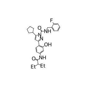 CCC(CC)C(=O)Nc1ccc(-c2cc(C3CCCC3)n(C(=O)NCc3ccccc3F)n2)c(O)c1